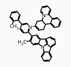 Cc1ccccc1-c1ccc(-c2cc3c4cccc5c6ccccc6n(c3cc2C)c54)[n+](C2=CCC3c4ccccc4-c4cccc[n+]4C3C2)c1